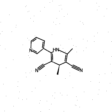 CC1=C(C#N)[C@@H](C)C(C#N)=C(c2cccnc2)N1